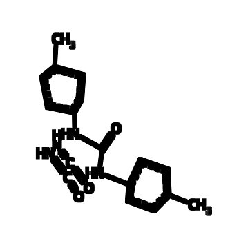 Cc1ccc(NC(=O)Nc2ccc(C)cc2)cc1.N=C=O.N=C=O